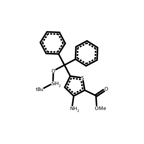 COC(=O)c1sc(C(O[SiH2]C(C)(C)C)(c2ccccc2)c2ccccc2)cc1N